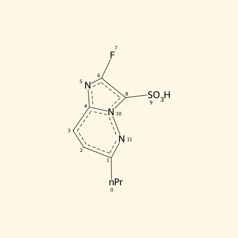 CCCc1ccc2nc(F)c(S(=O)(=O)O)n2n1